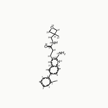 Cc1ccccc1-c1ccc2nc(N)c(CCC(=O)NCC3(C)COC3)cc2c1